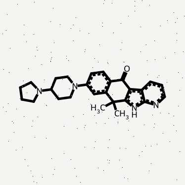 CC1(C)c2cc(N3CCC(N4CCCC4)CC3)ccc2C(=O)c2c1[nH]c1ncccc21